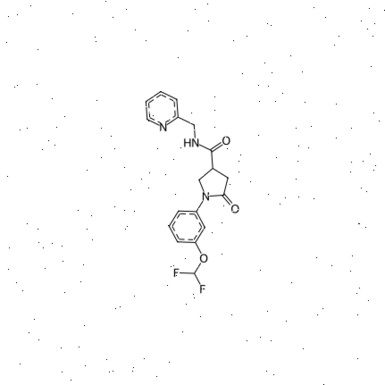 O=C(NCc1ccccn1)C1CC(=O)N(c2cccc(OC(F)F)c2)C1